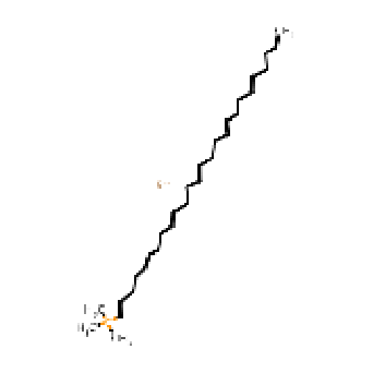 CCCCCCCCCCCCCCCCCCCCCCCCCC[P+](C)(C)C.[Br-]